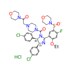 CCOc1cc(F)c([S+]([O-])N2CCOCC2)cc1C1=N[C@@H](c2ccc(Cl)cc2)[C@@H](c2ccc(Cl)cc2)N1C(=O)N1CCN(CC(=O)N2CCOCC2)CC1.Cl